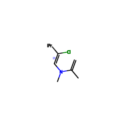 C=C(C)N(C)/C=C(\Cl)C(C)C